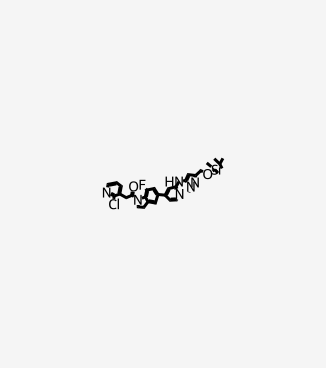 Cn1nc(CO[Si](C)(C)C(C)(C)C)cc1Nc1cc(-c2cc(F)c3c(c2)CCN3C(=O)Cc2cccnc2Cl)ccn1